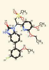 CCOc1nc(C(CS(C)(=O)=O)n2c(=O)[nH]c3cc(-c4cc(F)ccc4OC)ccc32)ccc1OC